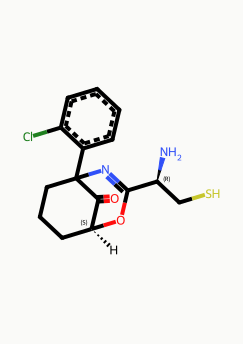 N[C@@H](CS)C1=NC2(c3ccccc3Cl)CCC[C@H](O1)C2=O